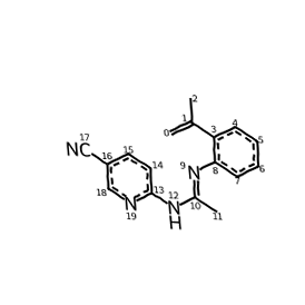 C=C(C)c1ccccc1/N=C(\C)Nc1ccc(C#N)cn1